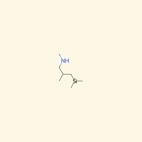 CNCC(C)C[Si](C)C